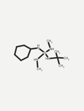 CN[Si](NC)(NC1CCCCC1)NC(C)(C)C